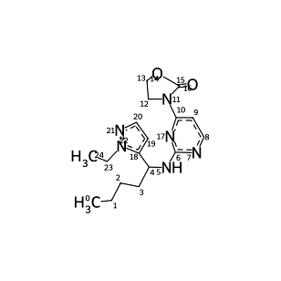 CCCCC(Nc1nccc(N2CCOC2=O)n1)c1ccnn1CC